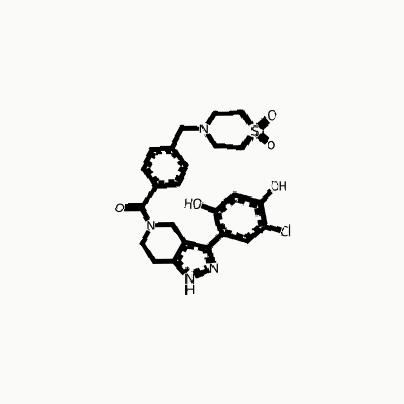 O=C(c1ccc(CN2CCS(=O)(=O)CC2)cc1)N1CCc2[nH]nc(-c3cc(Cl)c(O)cc3O)c2C1